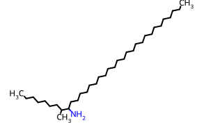 CCCCCCCCCCCCCCCCCCCCCCCCCC(N)C(C)CCCCCCC